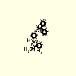 CN(C)c1nc(N[C@H]2CC[C@@H](CNC(=O)C(c3ccccc3)c3ccccc3)CC2)nc2c1CCCC2